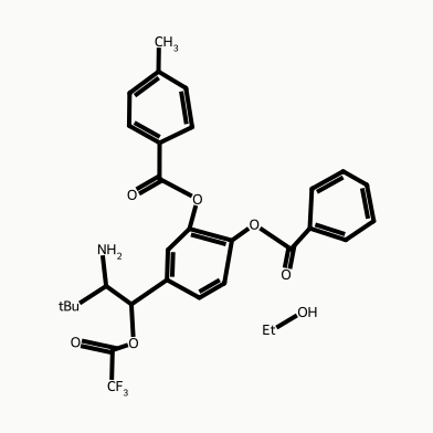 CCO.Cc1ccc(C(=O)Oc2cc(C(OC(=O)C(F)(F)F)C(N)C(C)(C)C)ccc2OC(=O)c2ccccc2)cc1